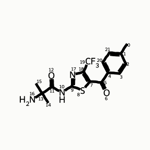 Cc1ccc(C(=O)c2sc(NC(=O)C(C)(C)N)nc2C(F)(F)F)cc1